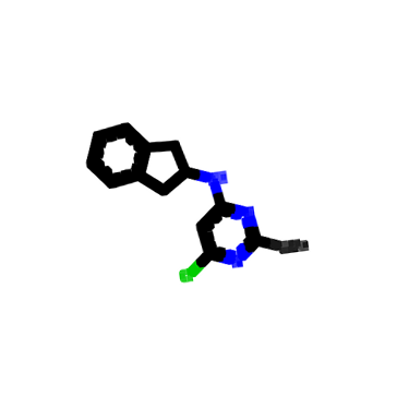 COc1nc(Cl)cc(NC2Cc3ccccc3C2)n1